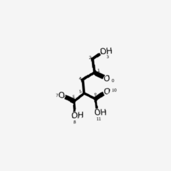 O=C(CO)CC(C(=O)O)C(=O)O